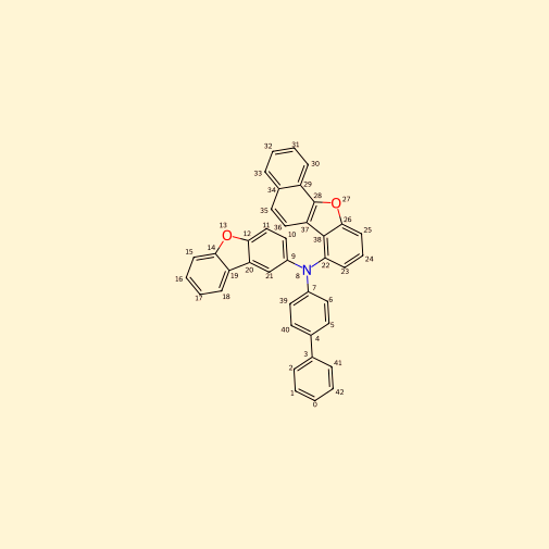 c1ccc(-c2ccc(N(c3ccc4oc5ccccc5c4c3)c3cccc4oc5c6ccccc6ccc5c34)cc2)cc1